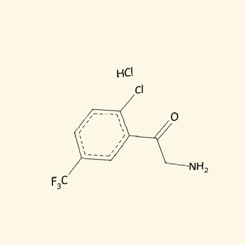 Cl.NCC(=O)c1cc(C(F)(F)F)ccc1Cl